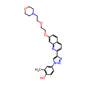 Cc1cc(-n2cc(-c3ccc4ccc(OCCOCCN5CCOCC5)cc4n3)nn2)ccc1O